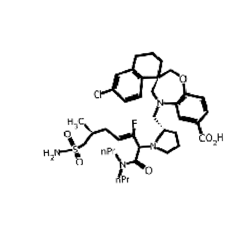 CCCN(CCC)C(=O)C(/C(F)=C/C[C@H](C)CS(N)(=O)=O)N1CCC[C@H]1CN1C[C@@]2(CCCc3cc(Cl)ccc32)COc2ccc(C(=O)O)cc21